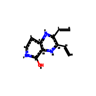 C=Cc1nc2ccnc(O)c2nc1C=C